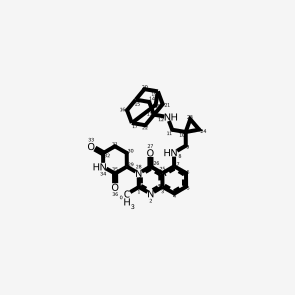 Cc1nc2cccc(NCC3(CNC45CC6CC(CC(C6)C4)C5)CC3)c2c(=O)n1C1CCC(=O)NC1=O